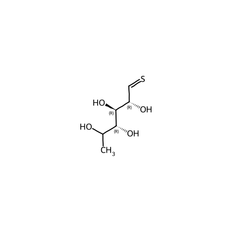 CC(O)[C@@H](O)[C@@H](O)[C@@H](O)C=S